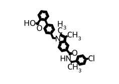 Cc1c(C)n(Cc2ccc(-c3ccccc3C(=O)O)cc2)c2ccc(C(=O)N[C@@H](C)c3ccc(Cl)cc3)cc12